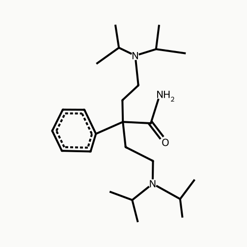 CC(C)N(CCC(CCN(C(C)C)C(C)C)(C(N)=O)c1ccccc1)C(C)C